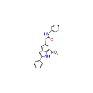 O=C(Cc1cc([N+](=O)[O-])c2[nH]c(-c3ccccc3)cc2c1)Nc1ccccc1